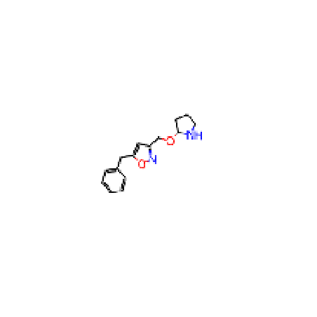 c1ccc(Cc2cc(CO[C@@H]3CCCN3)no2)cc1